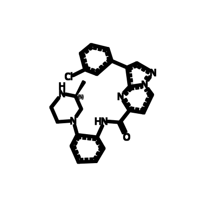 C[C@H]1CN(c2ccccc2NC(=O)c2ccn3ncc(-c4cccc(Cl)c4)c3n2)CCN1